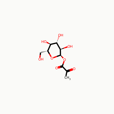 CC(=O)C(=O)O[C@H]1O[C@H](CO)[C@@H](O)[C@H](O)[C@H]1O